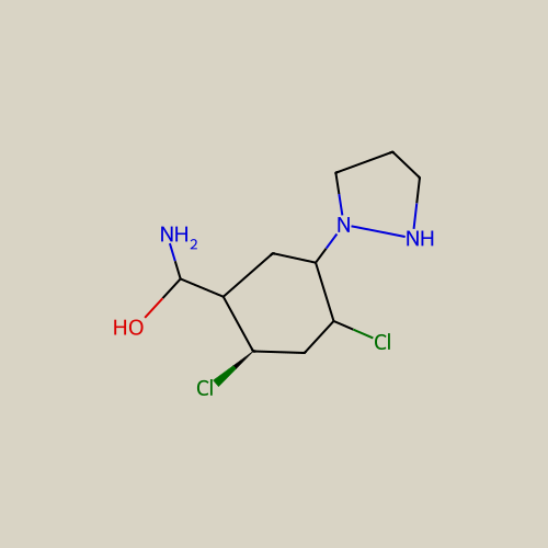 NC(O)C1CC(N2CCCN2)C(Cl)C[C@H]1Cl